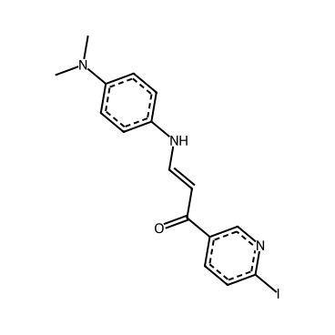 CN(C)c1ccc(NC=CC(=O)c2ccc(I)nc2)cc1